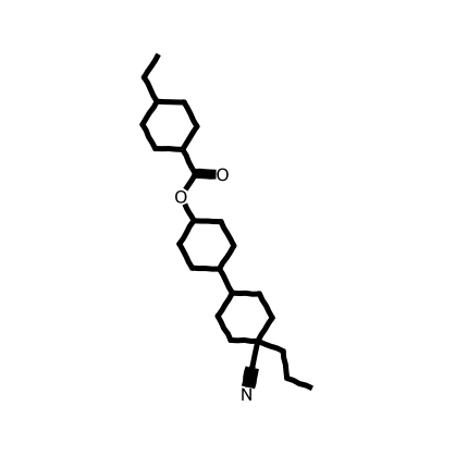 CCCC1(C#N)CCC(C2CCC(OC(=O)C3CCC(CC)CC3)CC2)CC1